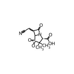 CC1(C)[C@H](C(=O)O)N2C(=O)/C(=C/C#N)C2S1(=O)=O